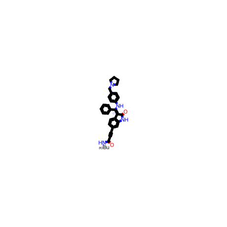 CC[C@@H](C)NC(=O)C#Cc1ccc2c(c1)NC(=O)/C2=C(\Nc1ccc(CN2CCCC2)cc1)c1ccccc1